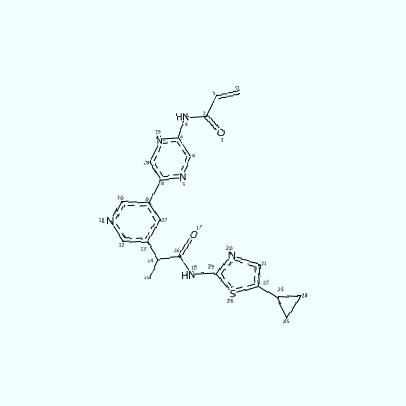 C=CC(=O)Nc1cnc(-c2cncc(C(C)C(=O)Nc3ncc(C4CC4)s3)c2)cn1